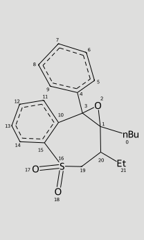 CCCCC12OC1(c1ccccc1)c1ccccc1S(=O)(=O)CC2CC